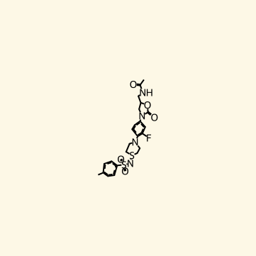 CC(=O)NCC1CN(c2ccc(N3CCS(=NS(=O)(=O)c4ccc(C)cc4)CC3)c(F)c2)C(=O)O1